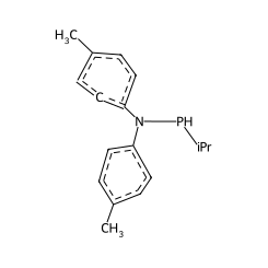 Cc1ccc(N(PC(C)C)c2ccc(C)cc2)cc1